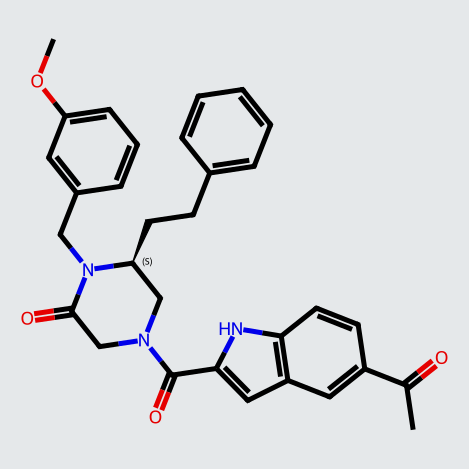 COc1cccc(CN2C(=O)CN(C(=O)c3cc4cc(C(C)=O)ccc4[nH]3)C[C@@H]2CCc2ccccc2)c1